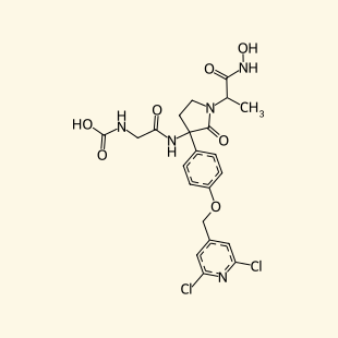 CC(C(=O)NO)N1CCC(NC(=O)CNC(=O)O)(c2ccc(OCc3cc(Cl)nc(Cl)c3)cc2)C1=O